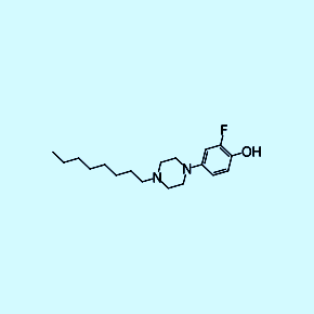 CCCCCCCCN1CCN(c2ccc(O)c(F)c2)CC1